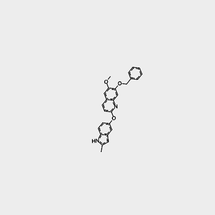 COc1cc2ccc(Oc3ccc4[nH]c(C)cc4c3)nc2cc1OCc1ccccc1